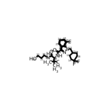 CC(C)(C)[C@H](NC(=O)c1nn(CC2CCC(F)(F)CC2)c2c(F)cccc12)C(=O)NCCCO